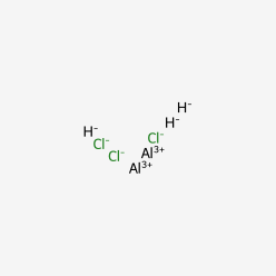 [Al+3].[Al+3].[Cl-].[Cl-].[Cl-].[H-].[H-].[H-]